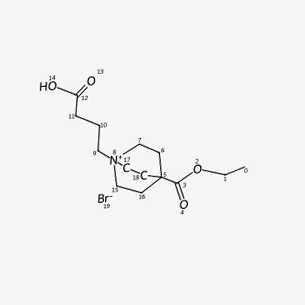 CCOC(=O)C12CC[N+](CCCC(=O)O)(CC1)CC2.[Br-]